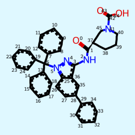 O=C(Nc1nn(C(c2ccccc2)(c2ccccc2)c2ccccc2)c2ccc(-c3ccccc3)cc12)[C@@H]1CCCN(C(=O)O)C1